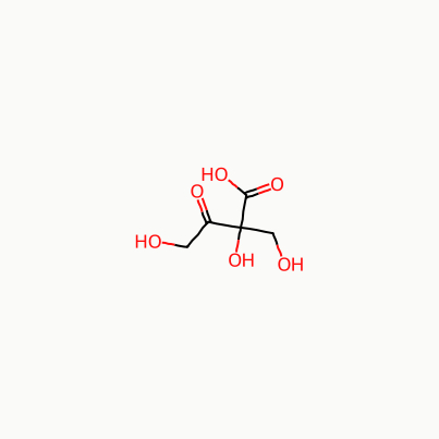 O=C(O)C(O)(CO)C(=O)CO